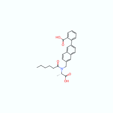 CCCCCC(=O)N(Cc1ccc2cc(-c3ccccc3C(=O)O)ccc2c1)[C@@H](C)C(=O)O